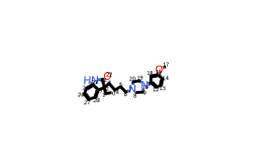 CCC1(CCCCN2CCN(c3cccc(OC)c3)CC2)C(=O)Nc2ccccc21